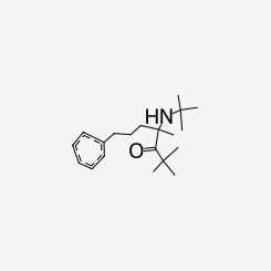 CC(C)(C)NC(C)(CCCc1ccccc1)C(=O)C(C)(C)C